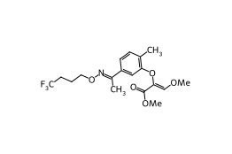 CO/C=C(\Oc1cc(/C(C)=N/OCCCC(F)(F)F)ccc1C)C(=O)OC